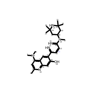 Cc1cc(N(C)C)c2cc(C(=N)/C=C\C(=N)N(C)C3CC(C)(C)NC(C)(C)C3)c(O)cc2n1